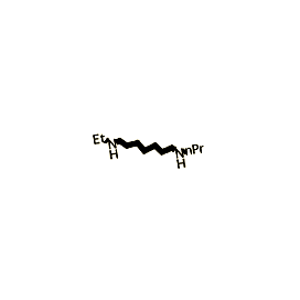 CCCN[CH]CCCCCCNCC